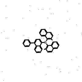 Cc1ccc2ccccc2c1B(c1c(C)ccc2ccccc12)c1ccc(-c2ccccc2)c2ccccc12